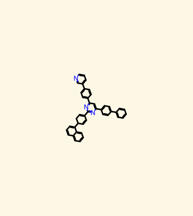 C1=CC(c2cccc3ccccc23)CC=C1c1nc(-c2ccc(-c3ccccc3)cc2)cc(-c2ccc(-c3cccnc3)cc2)n1